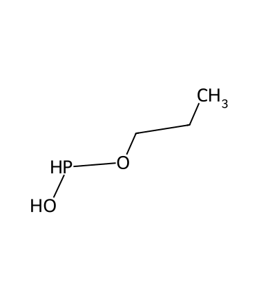 CCCOPO